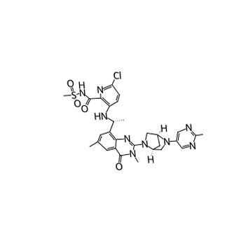 Cc1cc([C@@H](C)Nc2ccc(Cl)nc2C(=O)NS(C)(=O)=O)c2nc(N3C[C@@H]4C[C@H]3CN4c3cnc(C)nc3)n(C)c(=O)c2c1